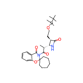 CC(C(=O)N1C(=O)c2ccccc2OC12CCCCCC2)[C@H]1NC(=O)[C@@H]1CCO[Si](C)(C)C(C)(C)C